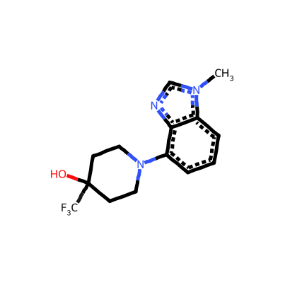 Cn1cnc2c(N3CCC(O)(C(F)(F)F)CC3)cccc21